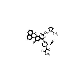 C=C(F)C(=O)N1CCN(c2nc(OC[C@@H]3CCCN3C)nc3cc(-c4cncc5cccc(Cl)c45)c(F)cc23)C[C@@H]1CC#N